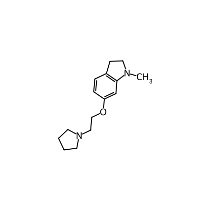 CN1CCc2ccc(OCCN3CCCC3)cc21